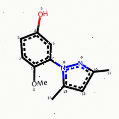 COc1ccc(O)cc1-n1nc(C)cc1C